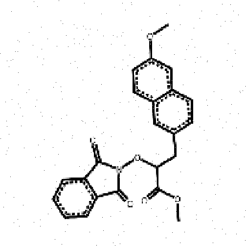 COC(=O)C(Cc1ccc2cc(OC)ccc2c1)ON1C(=O)c2ccccc2C1=O